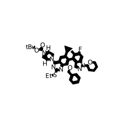 CCSc1nc(N2C[C@@H]3C[C@H]2CN3C(=O)OC(C)(C)C)c2cc(C3CC3)c(-c3c(C)c(F)cc4c3cnn4C3CCCCO3)c(OCc3ccccc3)c2n1